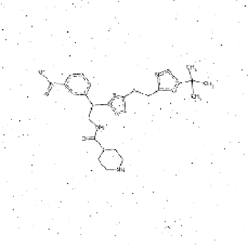 CC(C)(C)c1cnc(CSc2cnc(C(CNC(=O)C3CCNCC3)c3cccc([N+](=O)[O-])c3)s2)o1